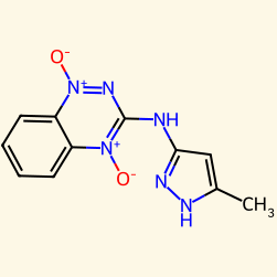 Cc1cc(Nc2n[n+]([O-])c3ccccc3[n+]2[O-])n[nH]1